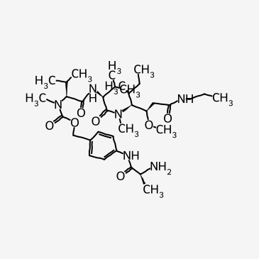 CCCNC(=O)C[C@@H](OC)[C@H]([C@@H](C)CC)N(C)C(=O)[C@@H](NC(=O)[C@H](C(C)C)N(C)C(=O)OCc1ccc(NC(=O)[C@H](C)N)cc1)C(C)C